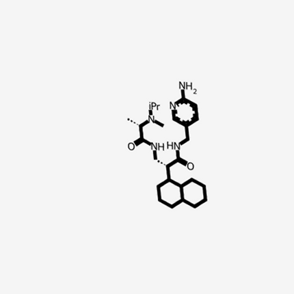 CC(C)N(C)[C@@H](C)C(=O)NC[C@H](C(=O)NCc1ccc(N)nc1)C1CCCC2CCCCC21